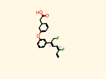 C=C/C(F)=C\C=C(/CF)c1cccc(OC2=CC=CC(CC(=O)O)C2)c1